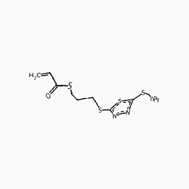 C=CC(=O)SCCSc1nnc(SCCC)s1